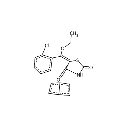 CCOC(=C1SC(=O)NC1=O)c1ccccc1Cl.c1cc2ccc1-2